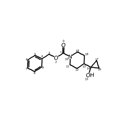 O=C(OCc1ccccc1)N1CCC(C2(O)CC2)CC1